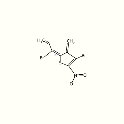 C=C/C(Br)=c1/sc([N+](=O)[O-])c(Br)c1=C